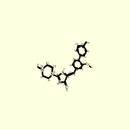 COc1cc(/C=C2\SC(N3CCN(C)CC3)=NC2=O)ccc1-c1ccc(C)cc1